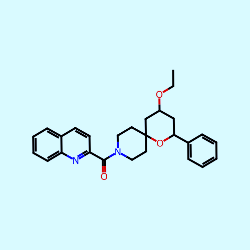 CCOC1CC(c2ccccc2)OC2(CCN(C(=O)c3ccc4ccccc4n3)CC2)C1